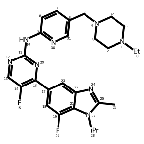 CCN1CCN(Cc2ccc(Nc3ncc(F)c(-c4cc(F)c5c(c4)nc(C)n5C(C)C)n3)nc2)CC1